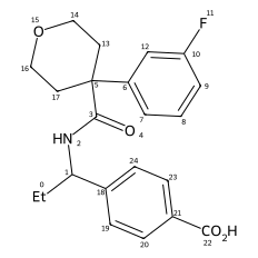 CCC(NC(=O)C1(c2cccc(F)c2)CCOCC1)c1ccc(C(=O)O)cc1